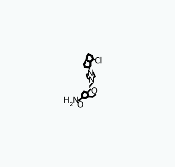 NC(=O)c1ccc2c(c1)CCO[C@H]2CCN1CCN(c2ccc3cccc(Cl)c3c2)CC1